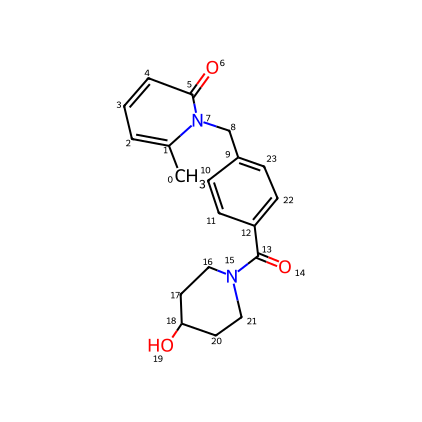 Cc1cccc(=O)n1Cc1ccc(C(=O)N2CCC(O)CC2)cc1